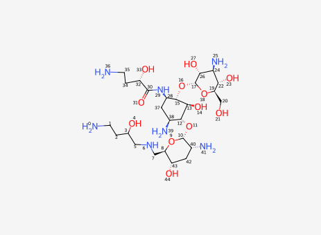 NCCC(O)CNC[C@H]1O[C@H](O[C@H]2[C@H](O)[C@@H](O[C@H]3O[C@H](CO)[C@@H](O)[C@H](N)[C@H]3O)[C@H](NC(=O)[C@@H](O)CCN)C[C@@H]2N)[C@H](N)C[C@@H]1O